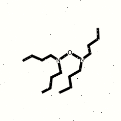 CCCCN(CCCC)ON(CCCC)CCCC